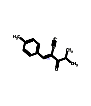 [C-]#[N+]/C(=C\c1ccc(C)cc1)C(=O)C(C)C